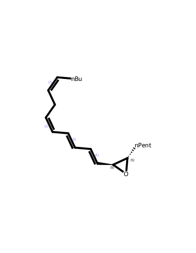 CCCC/C=C\C\C=C/C=C/C=C/[C@@H]1O[C@H]1CCCCC